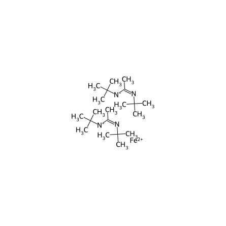 CC(=NC(C)(C)C)[N-]C(C)(C)C.CC(=NC(C)(C)C)[N-]C(C)(C)C.[Fe+2]